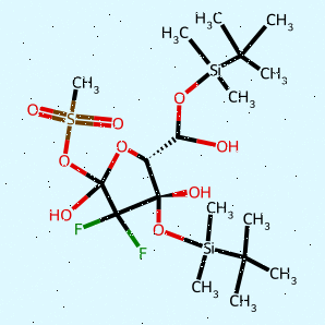 CC(C)(C)[Si](C)(C)OC(O)[C@H]1OC(O)(OS(C)(=O)=O)C(F)(F)[C@@]1(O)O[Si](C)(C)C(C)(C)C